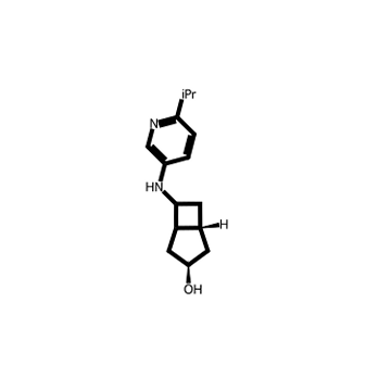 CC(C)c1ccc(NC2C[C@@H]3C[C@@H](O)CC23)cn1